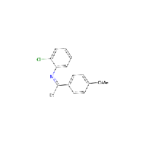 CC/C(=N/c1ccccc1Cl)c1ccc(OC)cc1